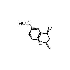 C=C1CC(=O)c2cc(C(=O)O)ccc2O1